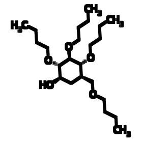 CCCCOC[C@H]1C[C@@H](O)[C@H](OCCCC)[C@@H](OCCCC)[C@@H]1OCCCC